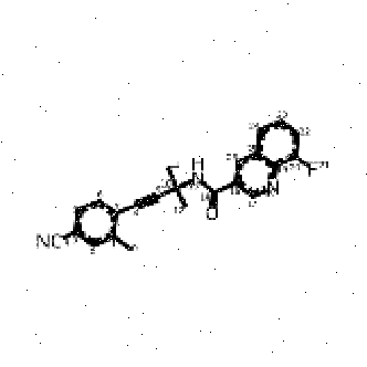 Cc1cc(C#N)ccc1C#CC(C)(C)NC(=O)c1cnc2c(F)cccc2c1